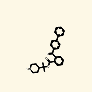 CC(C)(OC(=O)c1ccccc1C(=O)c1ccc(-c2ccccc2)cc1)C1CCNCC1